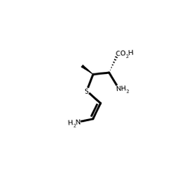 C[C@H](S/C=C\N)[C@@H](N)C(=O)O